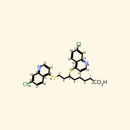 O=C(O)CCCCC(CCSc1ccnc2cc(Cl)ccc12)Sc1ccnc2cc(Cl)ccc12